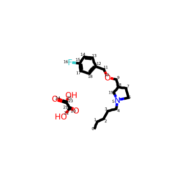 CCCCCN1CCC(COCc2ccc(F)cc2)C1.O=C(O)C(=O)O